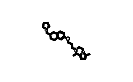 Cc1ccc2n1CCN(CCCOc1ccc3c(c1)CCC(CN1CCCC1)C3)C2C